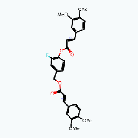 COc1cc(/C=C/C(=O)OCc2ccc(OC(=O)/C=C/c3ccc(OC(C)=O)c(OC)c3)c(F)c2)ccc1OC(C)=O